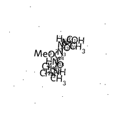 CO[C@H]1CN(c2nnc(C(C)(C)O)o2)CCC1NC(=O)c1[nH]c(C)c(Cl)c1Cl